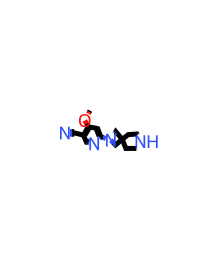 COc1cc(N2CC3(CCNCC3)C2)ncc1C#N